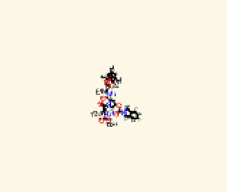 CC[C@H](NC(=O)[C@@H]1C[C@@H](OC(=O)N2Cc3ccccc3C2)CN1C(=O)[C@@H](NC(=O)OC(C)(C)C)C(C)(C)C)B1O[C@@H]2C[C@@H]3C[C@@H](C3(C)C)[C@]2(C)O1